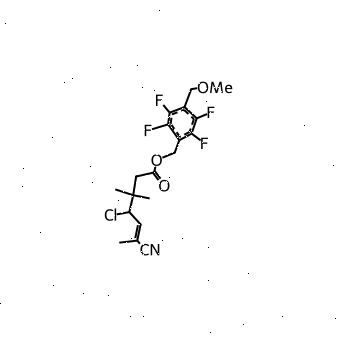 COCc1c(F)c(F)c(COC(=O)CC(C)(C)C(Cl)C=C(C)C#N)c(F)c1F